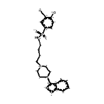 O=S(=O)(NCCCCN1CCN(c2nsc3ccccc23)CC1)c1ccc(Cl)c(Cl)c1